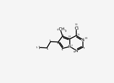 Cc1c(CCI)cn2ncnc(Cl)c12